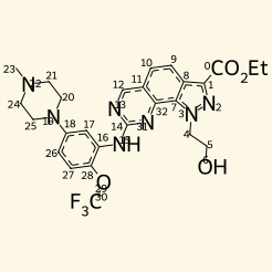 CCOC(=O)c1nn(CCO)c2c1ccc1cnc(Nc3cc(N4CCN(C)CC4)ccc3OC(F)(F)F)nc12